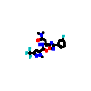 CN(C)C(=O)C[C@H](NC(=O)c1cc(C(F)(F)F)nn1C)c1nc(-c2cccc(F)c2)no1